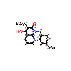 CCOC(=O)c1c(O)c2cccnc2n(Cc2ccc(C(C)(C)C)cc2)c1=O